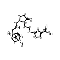 CC1(C)C2C[C@@H]1CC[C@H]2CNC[C@H]1CCC(=O)N1CCSc1nc(C(=O)O)cs1